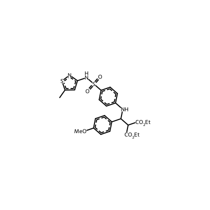 CCOC(=O)C(C(=O)OCC)C(Nc1ccc(S(=O)(=O)Nc2cc(C)sn2)cc1)c1ccc(OC)cc1